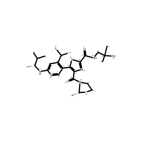 CC(C)[C@@H](C)Nc1cc(C(F)F)c(-c2sc(C(=O)NCC(C)(C)O)nc2C(=O)N2CCC[C@@H]2C)cn1